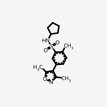 Cc1ccc(-c2c(C)noc2C)cc1S(=O)(=O)NC1CCCC1